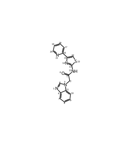 O=C(Cn1cnc2ccccc21)Nc1nc(-c2ccccn2)cs1